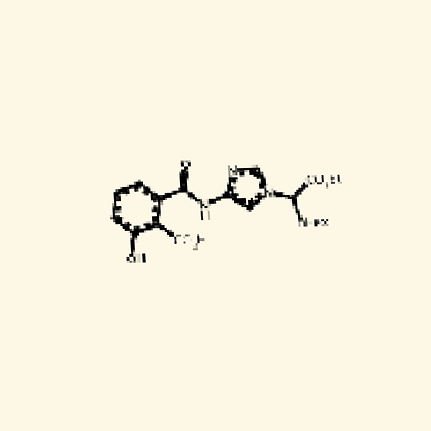 CCCCCCC(C(=O)OCC)n1cnc(NC(=O)c2cccc(O)c2C(=O)O)c1